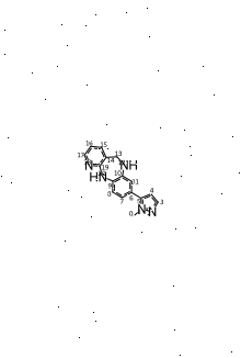 Cn1nccc1-c1ccc2c(c1)NCc1cccnc1N2